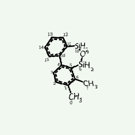 Cc1ccc2c(c1C)[SiH2]O[SiH2]c1ccccc1-2